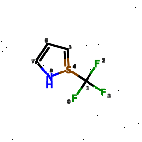 FC(F)(F)S1=CC=[C]N1